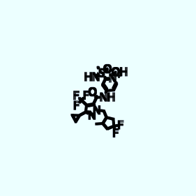 CC1CC(F)(F)CC1Cn1nc(C2CC2)c(C(F)(F)F)c1C(=O)Nc1cc[n+](O)c(S(C)(=N)=O)c1